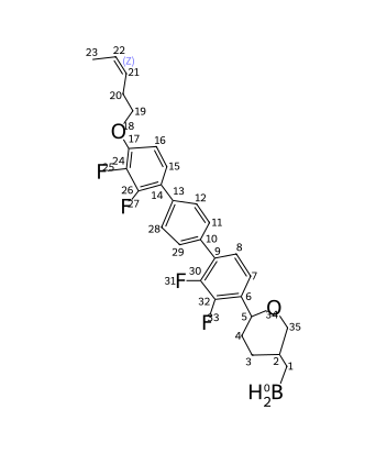 BCC1CCC(c2ccc(-c3ccc(-c4ccc(OCC/C=C\C)c(F)c4F)cc3)c(F)c2F)OC1